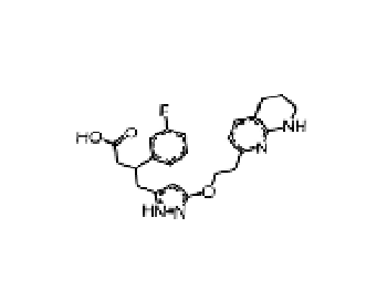 O=C(O)CC(Cc1cc(OCCc2ccc3c(n2)NCCC3)n[nH]1)c1cccc(F)c1